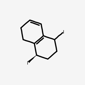 IC1CC[C@@H](I)C2=C1C=CCC2